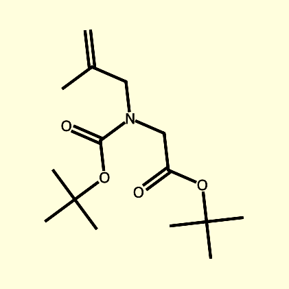 C=C(C)CN(CC(=O)OC(C)(C)C)C(=O)OC(C)(C)C